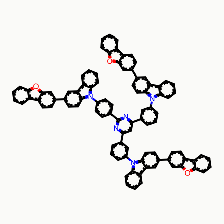 c1cc(-c2cc(-c3cccc(-n4c5ccccc5c5cc(-c6ccc7c(c6)oc6ccccc67)ccc54)c3)nc(-c3ccc(-n4c5ccccc5c5cc(-c6ccc7c(c6)oc6ccccc67)ccc54)cc3)n2)cc(-n2c3ccccc3c3cc(-c4ccc5c(c4)oc4ccccc45)ccc32)c1